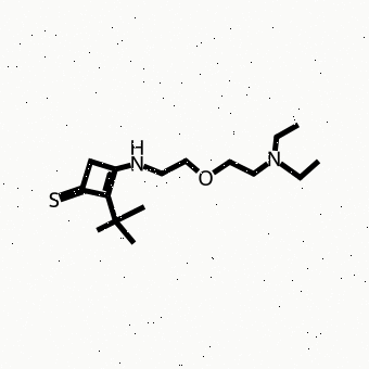 CCN(CC)CCOCCNC1=C(C(C)(C)C)C(=S)C1